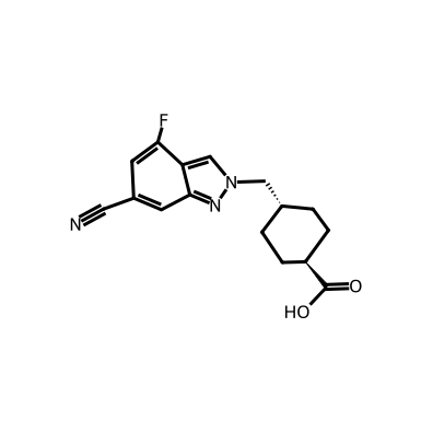 N#Cc1cc(F)c2cn(C[C@H]3CC[C@H](C(=O)O)CC3)nc2c1